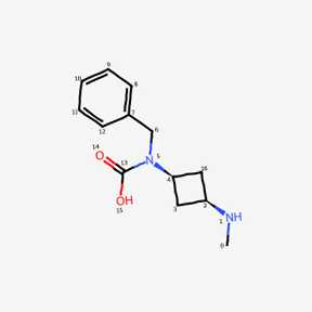 CN[C@H]1C[C@@H](N(Cc2ccccc2)C(=O)O)C1